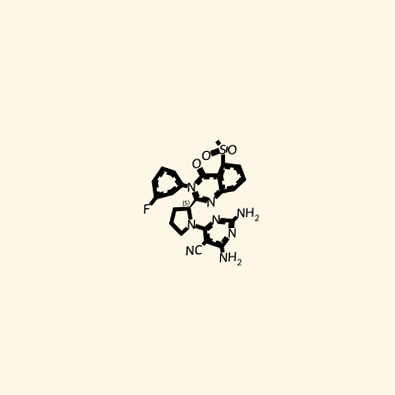 CS(=O)(=O)c1cccc2nc([C@@H]3CCCN3c3nc(N)nc(N)c3C#N)n(-c3cccc(F)c3)c(=O)c12